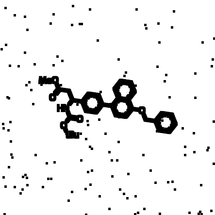 COC(=O)CC(NC(=O)OC(C)(C)C)c1ccc(-c2ccc(OCc3ccccc3)c3ccccc23)cc1